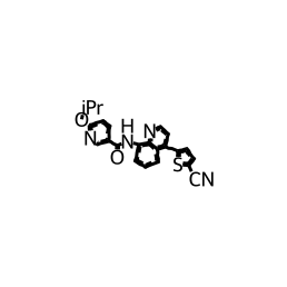 CC(C)Oc1ccc(C(=O)Nc2cccc3c(-c4ccc(C#N)s4)ccnc23)cn1